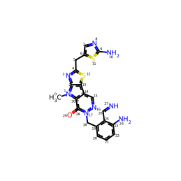 Cn1c2nc(Cc3cnc(N)s3)sc2c2cnn(Cc3cccc(N)c3C=N)c(=O)c21